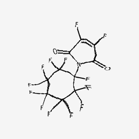 O=C1C(F)=C(F)C(=O)N1C1(F)C(F)(F)C(F)(F)C(F)(F)C(F)(F)C1(F)F